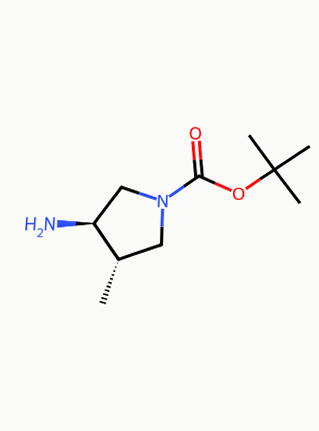 C[C@H]1CN(C(=O)OC(C)(C)C)C[C@@H]1N